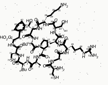 CC[C@H](C)[C@H](NC(=O)[C@H](C)NC(=O)[C@@H]1CCCN1C(=O)[C@@H](NC(=O)[C@H](CO)NC(=O)[C@H](CCCCN)NC(=O)[C@@H](NC(=O)[C@H](C)NC(=O)[C@H](CCCNC(=N)N)NC(=O)CNC(=O)[C@@H](N)CS)[C@@H](C)O)[C@@H](C)CC)C(=O)N[C@@H](CS)C(=O)N[C@@H](Cc1ccccc1)C(=O)O